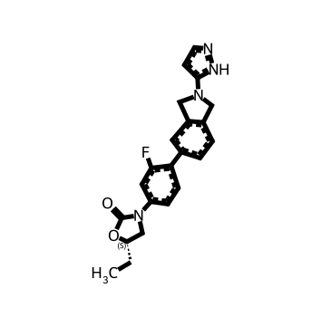 CC[C@H]1CN(c2ccc(-c3ccc4c(c3)CN(c3ccn[nH]3)C4)c(F)c2)C(=O)O1